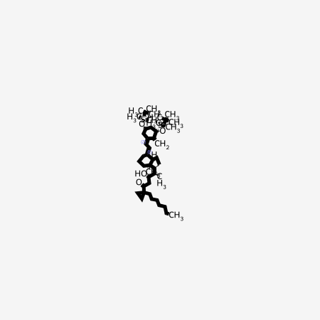 C=C1/C(=C\C=C2/CCC[C@]3(C)[C@@H]([C@H](C)C(O)CC(=O)C4(CCCCCCC)CC4)CC[C@@H]23)C[C@@H](O[Si](C)(C)C(C)(C)C)C[C@@H]1O[Si](C)(C)C(C)(C)C